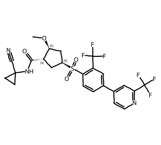 CO[C@H]1C[C@@H](S(=O)(=O)c2ccc(-c3ccnc(C(F)(F)F)c3)cc2C(F)(F)F)C[C@@H]1C(=O)NC1(C#N)CC1